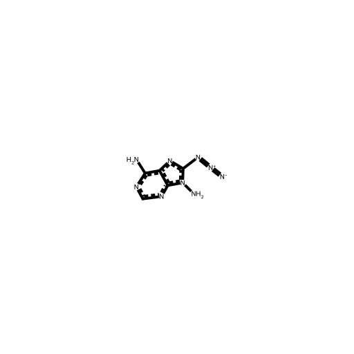 [N-]=[N+]=Nc1nc2c(N)ncnc2n1N